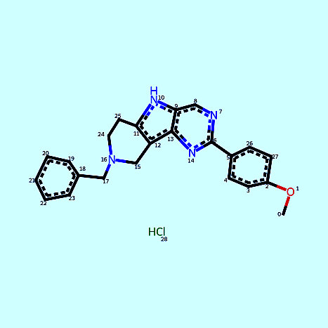 COc1ccc(-c2ncc3[nH]c4c(c3n2)CN(Cc2ccccc2)CC4)cc1.Cl